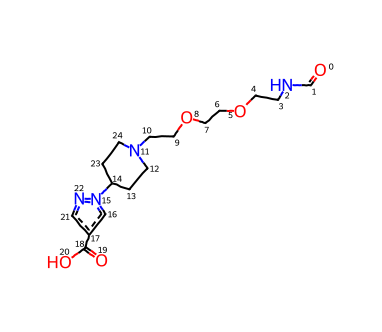 O=CNCCOCCOCCN1CCC(n2cc(C(=O)O)cn2)CC1